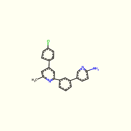 Cc1cc(-c2ccc(Cl)cc2)cc(-c2cccc(-c3ccc(N)nc3)c2)n1